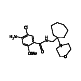 COc1cc(N)c(Cl)cc1C(=O)NCC1(N2CCOCC2)CCCCCC1